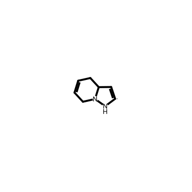 [C]1=CC2CC=CCN2N1